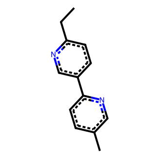 CCc1ccc(-c2ccc(C)cn2)cn1